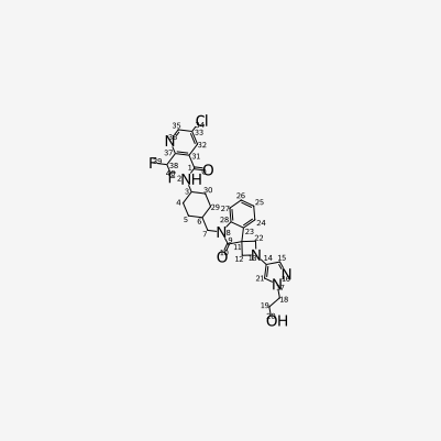 O=C(NC1CCC(CN2C(=O)C3(CN(c4cnn(CCO)c4)C3)c3ccccc32)CC1)c1cc(Cl)cnc1C(F)F